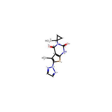 Cc1c(-n2nccn2)sc2[nH]c(=O)n(C3(C(=O)O)CC3)c(=O)c12